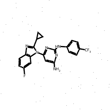 Nc1cc(-n2c(C3CC3)nc3ccc(F)cc32)nc(Nc2ccc(C(F)(F)F)cc2)n1